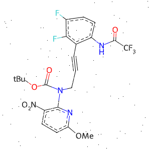 COc1ccc([N+](=O)[O-])c(N(CC#Cc2c(NC(=O)C(F)(F)F)ccc(F)c2F)C(=O)OC(C)(C)C)n1